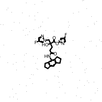 O=C(CCC(O)(Cn1cc(F)cn1)C(=O)On1cc(F)cn1)Nc1c2c(cc3c1CCC3)CCC2